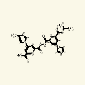 Cc1cn(-c2cc(C(=O)O)nc(C(=O)OOC(=O)c3cc(-n4ccnc4)cc(C(=O)OC(C)C)n3)c2)cn1